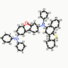 c1ccc(N(c2ccccc2)c2ccc3oc4cc(N(c5ccccc5)c5cc6c7ccccc7sc6c6ccccc56)ccc4c3c2)cc1